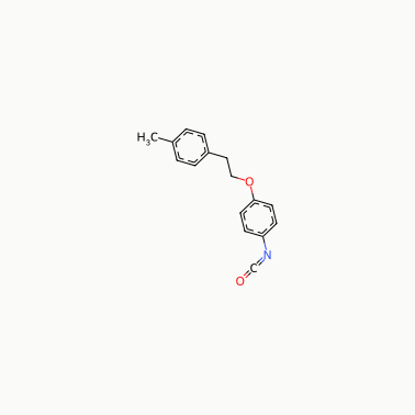 Cc1ccc(CCOc2ccc(N=C=O)cc2)cc1